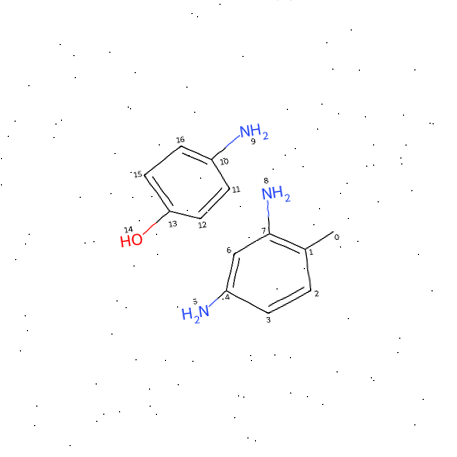 Cc1ccc(N)cc1N.Nc1ccc(O)cc1